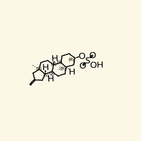 C=C1C[C@H]2[C@@H]3CC[C@@H]4C[C@H](OS(=O)(=O)O)CC[C@]4(C)[C@H]3CC[C@]2(C)C1